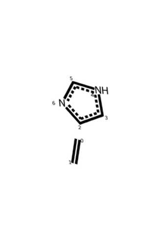 C=C.c1c[nH]cn1